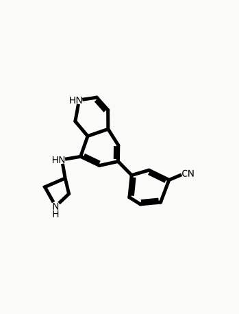 N#Cc1cccc(C2=CC3C=CNCC3C(NC3CNC3)=C2)c1